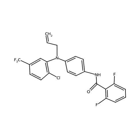 C=CCN(c1ccc(NC(=O)c2c(F)cccc2F)cc1)c1cc(C(F)(F)F)ccc1Cl